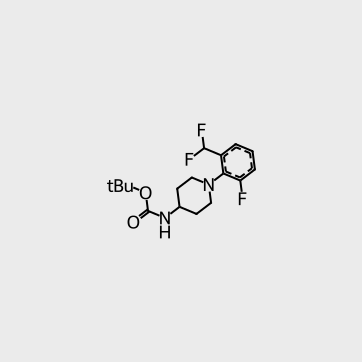 CC(C)(C)OC(=O)NC1CCN(c2c(F)cccc2C(F)F)CC1